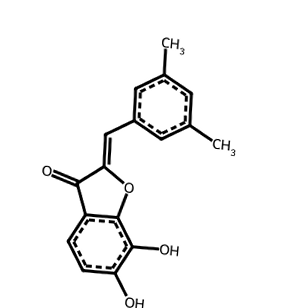 Cc1cc(C)cc(C=C2Oc3c(ccc(O)c3O)C2=O)c1